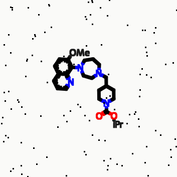 COc1ccc2cccnc2c1N1CCCN(CC2CCN(C(=O)OC(C)C)CC2)CC1